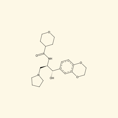 O=C(N[C@H](CN1CCCC1)[C@@H](O)c1ccc2c(c1)OCCO2)C1CCOCC1